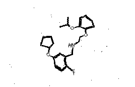 CC(C)Oc1ccccc1OCCNCc1cc(OC2CCCC2)ccc1F